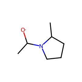 CC([O])N1CCCC1C